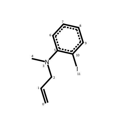 C=CCN(C)c1ccccc1I